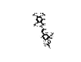 COc1cc(OC)c(OC)cc1CSC=Cc1ccc(OC(C)=O)c(OC)c1